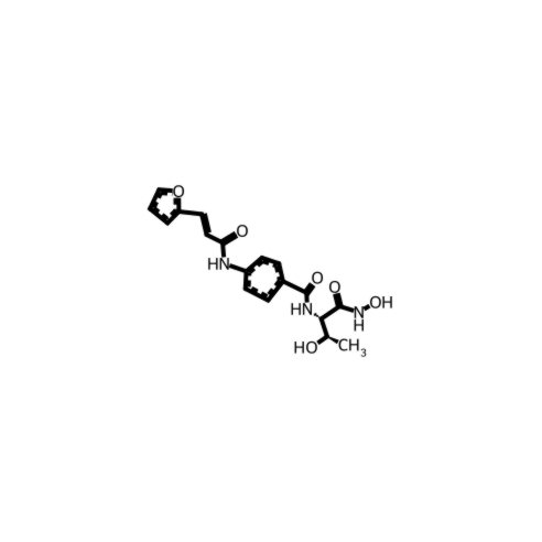 C[C@@H](O)[C@H](NC(=O)c1ccc(NC(=O)C=Cc2ccco2)cc1)C(=O)NO